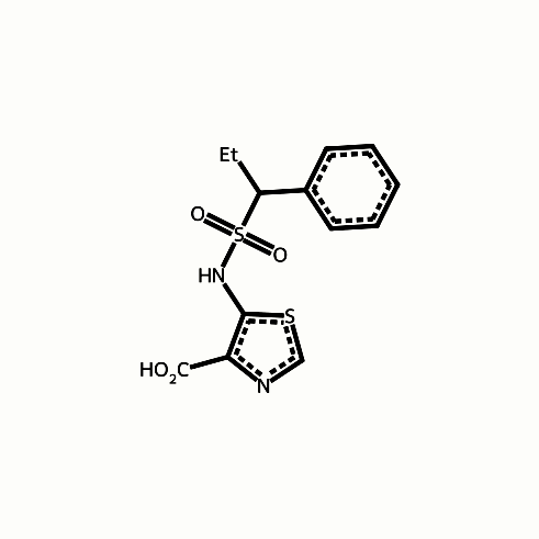 CCC(c1ccccc1)S(=O)(=O)Nc1scnc1C(=O)O